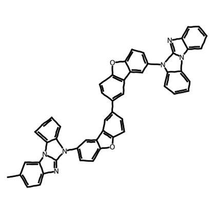 Cc1ccc2nc3n(-c4ccc5oc6ccc(-c7ccc8oc9ccc(-n%10c%11ccccc%11n%11c%12ccccc%12nc%10%11)cc9c8c7)cc6c5c4)c4ccccc4n3c2c1